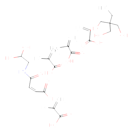 C=C(C)C(=O)O.C=C(C)C(=O)O.C=C(C)C(=O)O.C=CC(=O)O.CCC(CO)(CO)CO.O=C(O)/C=C\C(=O)NCC(O)O